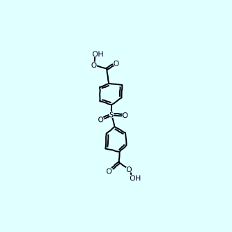 O=C(OO)c1ccc(S(=O)(=O)c2ccc(C(=O)OO)cc2)cc1